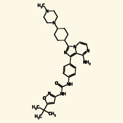 CN1CCN(C2CCC(c3nc(-c4ccc(NC(=O)Nc5cc(C(C)(C)C)on5)cc4)c4c(N)nccn34)CC2)CC1